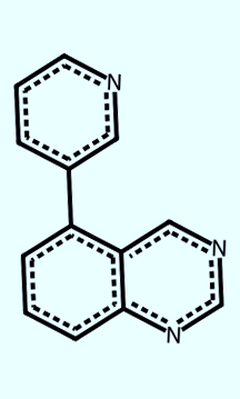 c1cncc(-c2cccc3ncncc23)c1